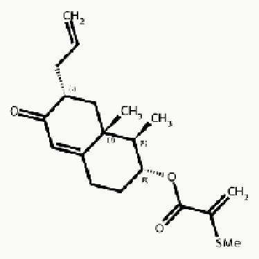 C=CC[C@@H]1C[C@@]2(C)C(=CC1=O)CC[C@@H](OC(=O)C(=C)SC)[C@@H]2C